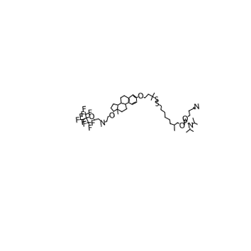 CC(CCCCCCSSC(C)(C)CCOc1ccc2c(c1)CCC1C2CCC2(C)C(OCCN(C)CCOC(C(F)(F)F)(C(F)(F)F)C(F)(F)F)CCC12)COP(OCCC#N)N(C(C)C)C(C)C